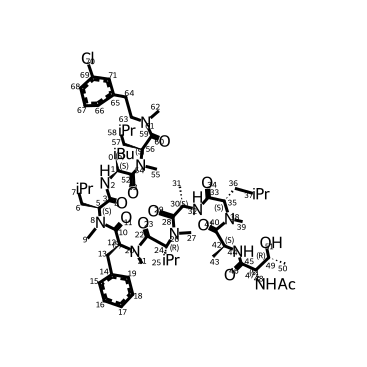 CC[C@H](C)[C@H](NC(=O)[C@H](CC(C)C)N(C)C(=O)[C@H](Cc1ccccc1)N(C)C(=O)[C@@H](C(C)C)N(C)C(=O)[C@H](C)NC(=O)[C@H](CC(C)C)N(C)C(=O)[C@H](C)NC(=O)[C@@H](NC(C)=O)[C@@H](C)O)C(=O)N(C)[C@@H](CC(C)C)C(=O)N(C)CCc1cccc(Cl)c1